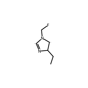 CCC1[CH]N(CF)[C]=N1